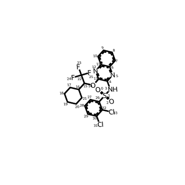 O=S(=O)(Nc1nc2ccccc2nc1OC(C1CCCCC1)C(F)(F)F)c1cccc(Cl)c1Cl